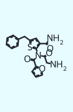 NCC(=O)N(C(=O)c1ccco1)c1sc(Cc2ccccc2)cc1C(N)=O